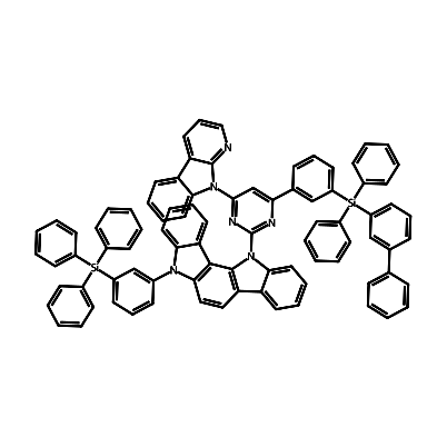 c1ccc(-c2cccc([Si](c3ccccc3)(c3ccccc3)c3cccc(-c4cc(-n5c6ccccc6c6cccnc65)nc(-n5c6ccccc6c6ccc7c(c8ccccc8n7-c7cccc([Si](c8ccccc8)(c8ccccc8)c8ccccc8)c7)c65)n4)c3)c2)cc1